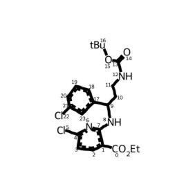 CCOC(=O)c1ccc(Cl)nc1NC(CCNC(=O)OC(C)(C)C)c1cccc(Cl)c1